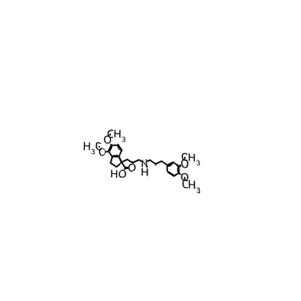 COc1ccc(CCCNCCCC2(C(=O)O)CCc3c2ccc(OC)c3OC)cc1OC